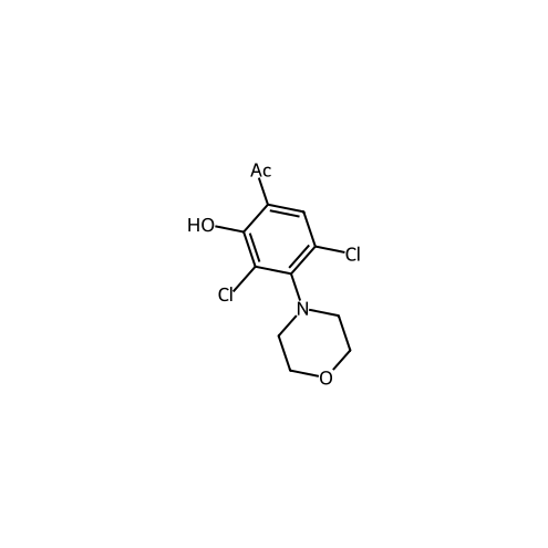 CC(=O)c1cc(Cl)c(N2CCOCC2)c(Cl)c1O